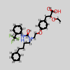 CCOC(Cc1ccc(OCCN(CCCCc2ccccc2)C(=O)Nc2ccccc2C(F)(F)F)cc1)C(=O)O